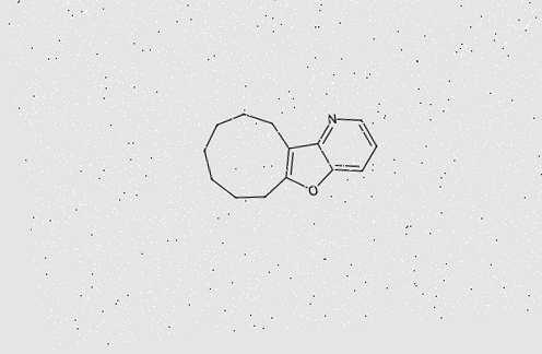 c1cnc2c3c(oc2c1)CCCCCCC3